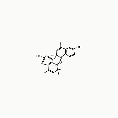 CC1=CC(C)(C)N(ON2c3ccc(O)cc3C(C)=CC2(C)C)c2ccc(O)cc21